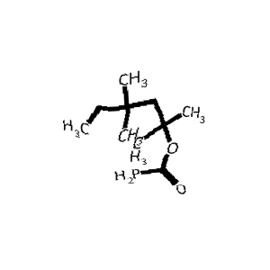 CCC(C)(C)CC(C)(C)OC(=O)P